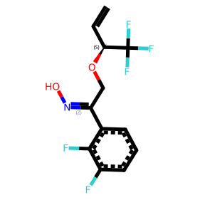 C=C[C@H](OC/C(=N\O)c1cccc(F)c1F)C(F)(F)F